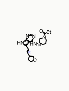 CCC(=O)N1CCC[C@@H](Nc2ncnc3[nH]cc(/C=C/C4=COCC4)c23)C1